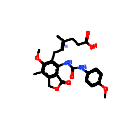 COc1ccc(NC(=O)Nc2c(C/C=C(\C)CCC(=O)O)c(OC)c(C)c3c2C(=O)OC3)cc1